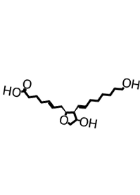 O=C(O)CCCC=CC[C@@H]1OC[C@H](O)[C@@H]1C=CCCCCCCO